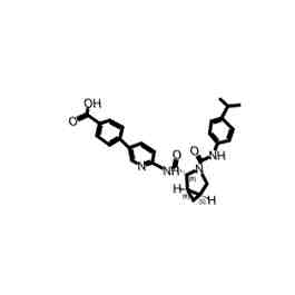 CC(C)c1ccc(NC(=O)N2C[C@H]3C[C@H]3[C@@H]2C(=O)Nc2ccc(-c3ccc(C(=O)O)cc3)cn2)cc1